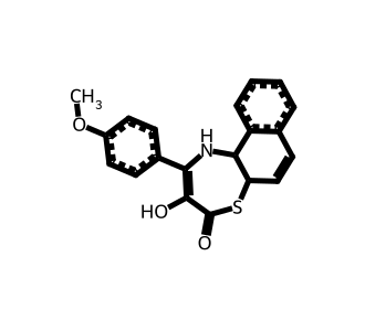 COc1ccc(C2=C(O)C(=O)SC3C=Cc4ccccc4C3N2)cc1